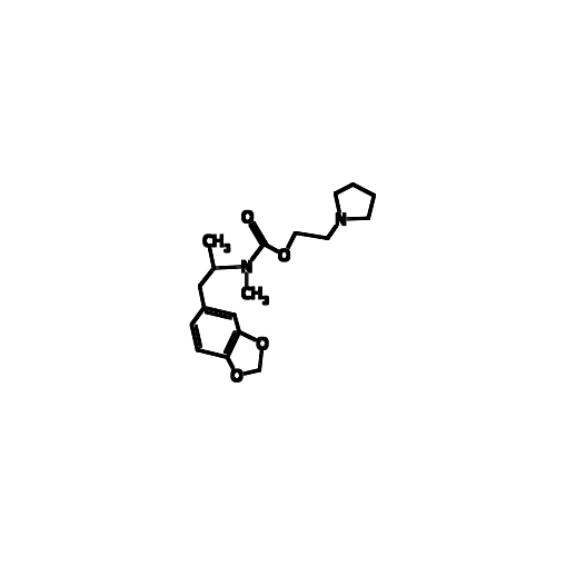 CC(Cc1ccc2c(c1)OCO2)N(C)C(=O)OCCN1CCCC1